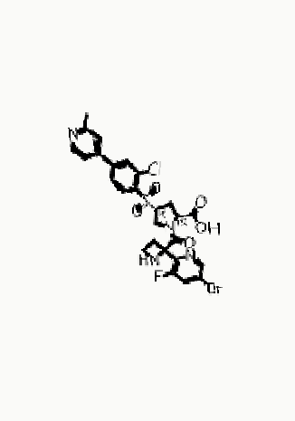 Cc1cc(-c2ccc(S(=O)(=O)[C@@H]3C[C@@H](C(=O)O)N(C(=O)C4(c5ncc(Br)cc5F)CCN4)C3)c(Cl)c2)ccn1